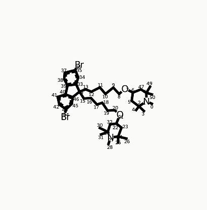 CN1C(C)(C)CC(OCCCCCCC2(CCCCCCOC3CC(C)(C)N(C)C(C)(C)C3)c3cc(Br)ccc3-c3ccc(Br)cc32)CC1(C)C